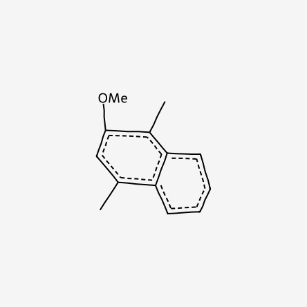 COc1cc(C)c2ccccc2c1C